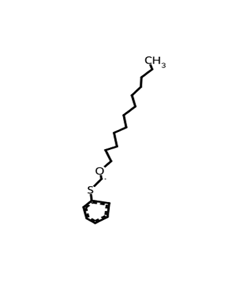 CCCCCCCCCCCCO[CH]Sc1ccccc1